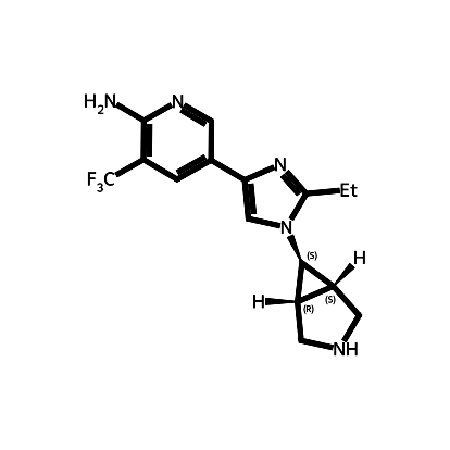 CCc1nc(-c2cnc(N)c(C(F)(F)F)c2)cn1[C@H]1[C@@H]2CNC[C@@H]21